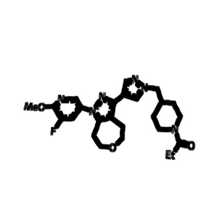 CCC(=O)N1CCC(Cn2cc(-c3nn(-c4cnc(OC)c(F)c4)c4c3CCOCC4)cn2)CC1